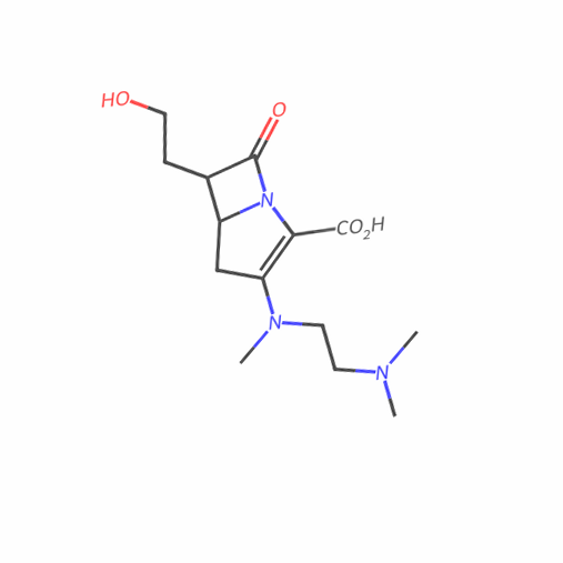 CN(C)CCN(C)C1=C(C(=O)O)N2C(=O)C(CCO)C2C1